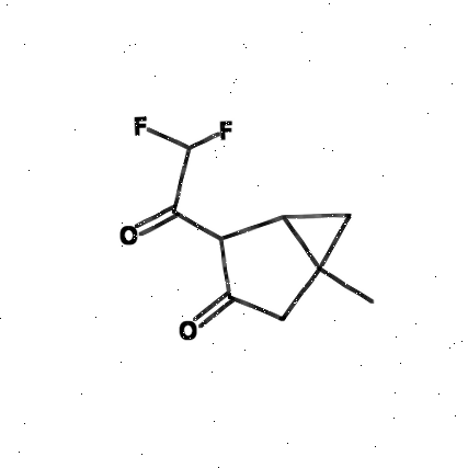 CC12CC(=O)C(C(=O)C(F)F)C1C2